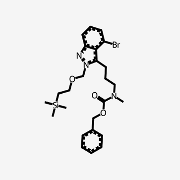 CN(CCCc1c2c(Br)cccc2nn1COCC[Si](C)(C)C)C(=O)OCc1ccccc1